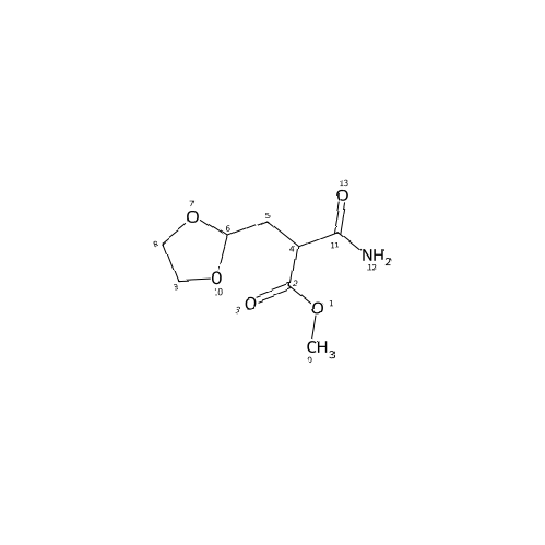 COC(=O)C(CC1OCCO1)C(N)=O